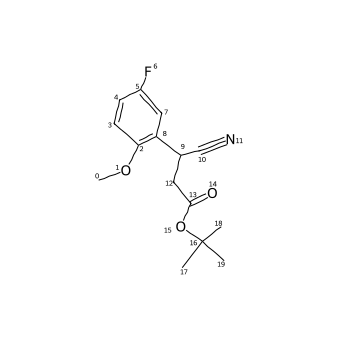 COc1ccc(F)cc1C(C#N)CC(=O)OC(C)(C)C